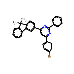 CC1(C)c2ccccc2-c2cc(-c3cc(C4=CC=C(Br)CC4)nc(-c4ccccc4)n3)ccc21